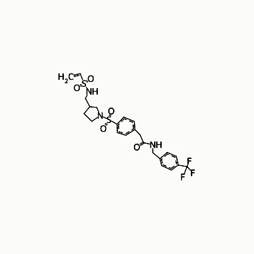 C=CS(=O)(=O)NCC1CCN(S(=O)(=O)c2ccc(CC(=O)NCc3ccc(C(F)(F)F)cc3)cc2)C1